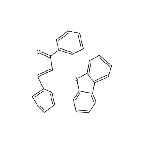 O=C(C=Cc1ccccc1)c1ccccc1.c1ccc2c(c1)sc1ccccc12